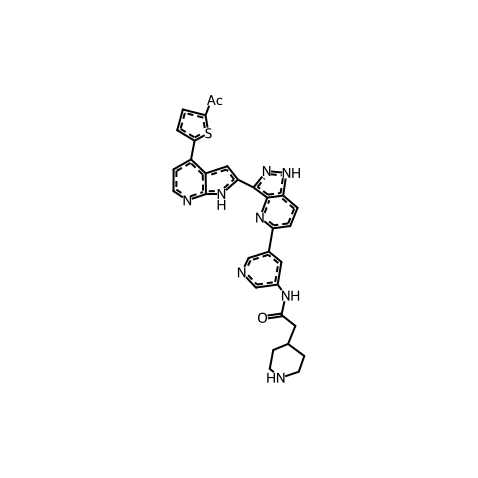 CC(=O)c1ccc(-c2ccnc3[nH]c(-c4n[nH]c5ccc(-c6cncc(NC(=O)CC7CCNCC7)c6)nc45)cc23)s1